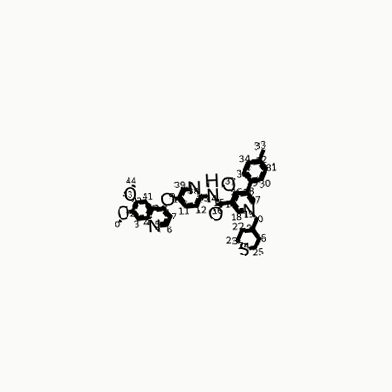 COc1cc2nccc(Oc3ccc(NC(=O)c4cn(CC5CCSCC5)cc(-c5ccc(C)cc5)c4=O)nc3)c2cc1OC